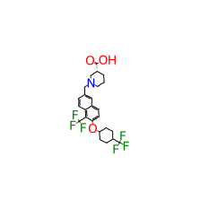 O=C(O)[C@@H]1CCCN(Cc2ccc3c(C(F)(F)F)c(OC4CCC(C(F)(F)F)CC4)ccc3c2)C1